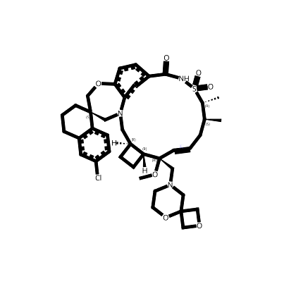 CO[C@@]1(CN2CCOC3(COC3)C2)/C=C/C[C@H](C)[C@@H](C)S(=O)(=O)NC(=O)c2ccc3c(c2)N(C[C@@H]2CC[C@H]21)C[C@@]1(CCCc2cc(Cl)ccc21)CO3